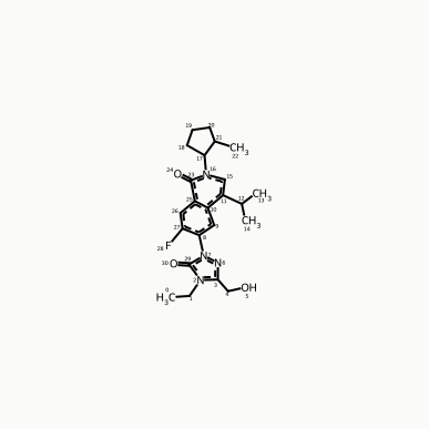 CCn1c(CO)nn(-c2cc3c(C(C)C)cn(C4CCCC4C)c(=O)c3cc2F)c1=O